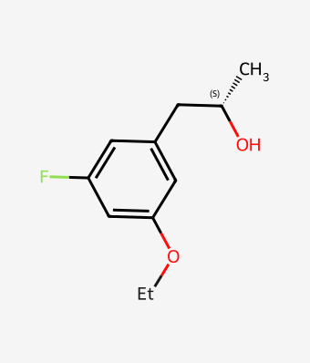 CCOc1cc(F)cc(C[C@H](C)O)c1